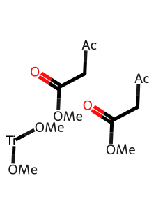 COC(=O)CC(C)=O.COC(=O)CC(C)=O.C[O][Ti][O]C